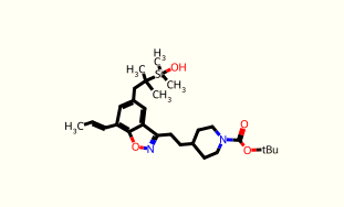 C/C=C/c1cc(CC(C)(C)[Si](C)(C)O)cc2c(CCC3CCN(C(=O)OC(C)(C)C)CC3)noc12